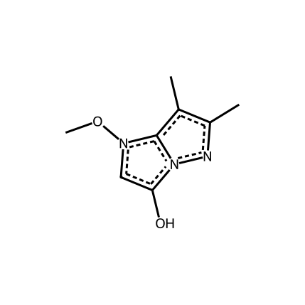 COn1cc(O)n2nc(C)c(C)c12